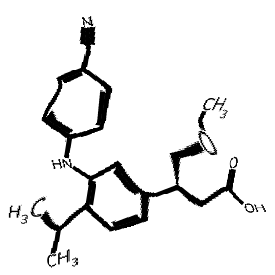 COC[C@@H](CC(=O)O)c1ccc(C(C)C)c(Nc2ccc(C#N)cc2)c1